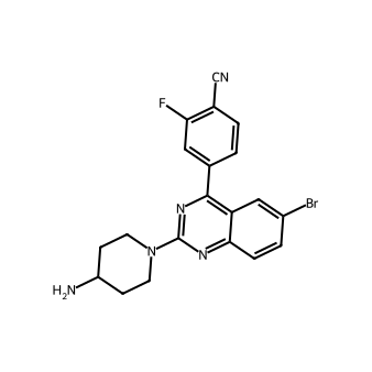 N#Cc1ccc(-c2nc(N3CCC(N)CC3)nc3ccc(Br)cc23)cc1F